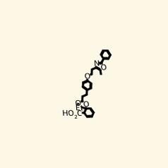 CCOC(CCc1ccc(OCCc2nc(-c3ccccc3)oc2C)cc1)OC1(C)C=CC=CC1C(=O)O